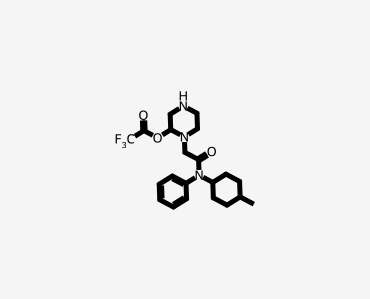 CC1CCC(N(C(=O)CN2CCNCC2OC(=O)C(F)(F)F)c2ccccc2)CC1